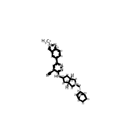 Cn1cc2cc(-c3cc(C#N)c(NC4C[C@@H]5CN(C[C@H]6CC7CCC6O7)C[C@@H]5C4)nn3)ccc2n1